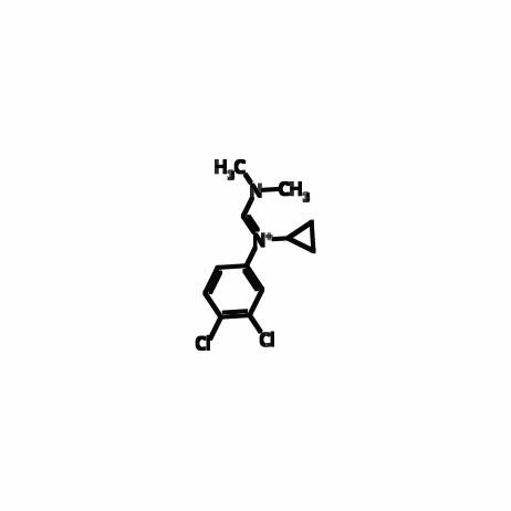 CN(C)C=[N+](c1ccc(Cl)c(Cl)c1)C1CC1